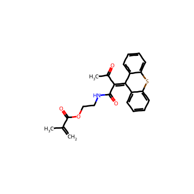 C=C(C)C(=O)OCCNC(=O)C(C(C)=O)=C1c2ccccc2Sc2ccccc21